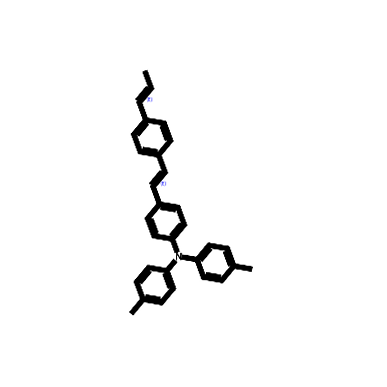 C/C=C/c1ccc(/C=C/c2ccc(N(c3ccc(C)cc3)c3ccc(C)cc3)cc2)cc1